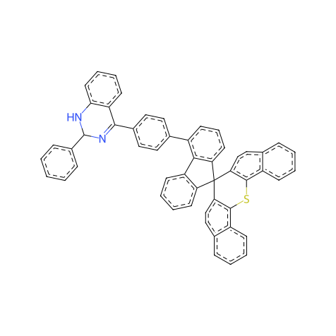 c1ccc(C2N=C(c3ccc(-c4cccc5c4-c4ccccc4C54c5ccc6ccccc6c5Sc5c4ccc4ccccc54)cc3)c3ccccc3N2)cc1